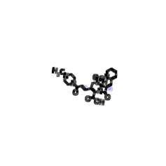 CN1CCN(C(=O)/C=C/C2=C(C(=O)O)N3C(=O)/C(=C/c4ccccn4)[C@H]3S(=O)(=O)C2)CC1